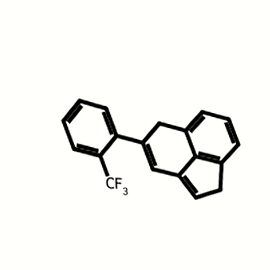 FC(F)(F)c1ccccc1C1=CC2=CCc3cccc(c32)C1